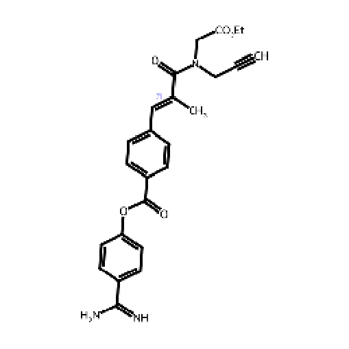 C#CCN(CC(=O)OCC)C(=O)/C(C)=C/c1ccc(C(=O)Oc2ccc(C(=N)N)cc2)cc1